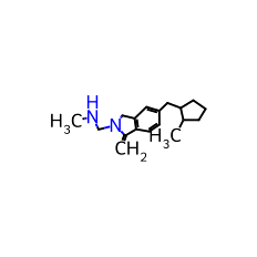 C=C1c2ccc(CC3CCCC3C)cc2CN1CNC